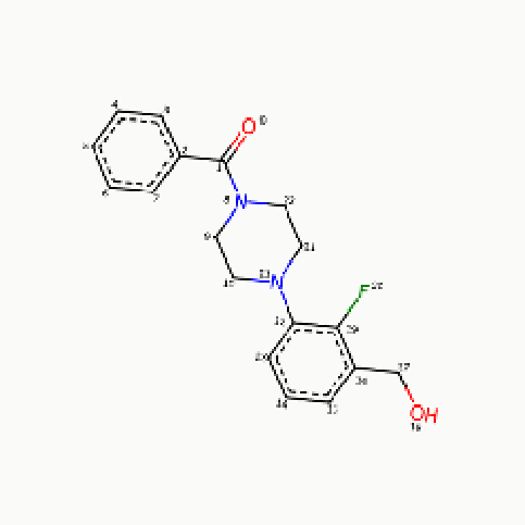 O=C(c1ccccc1)N1CCN(c2cccc(CO)c2F)CC1